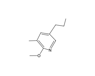 CCCc1cnc(OC)c(C)c1